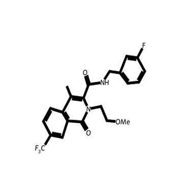 COCCn1c(C(=O)NCc2cccc(F)c2)c(C)c2ccc(C(F)(F)F)cc2c1=O